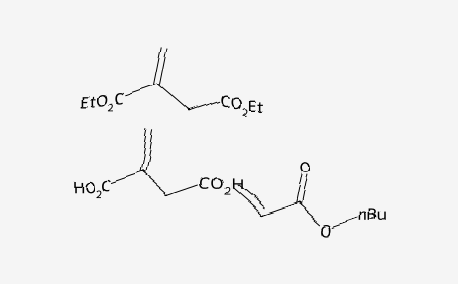 C=C(CC(=O)O)C(=O)O.C=C(CC(=O)OCC)C(=O)OCC.C=CC(=O)OCCCC